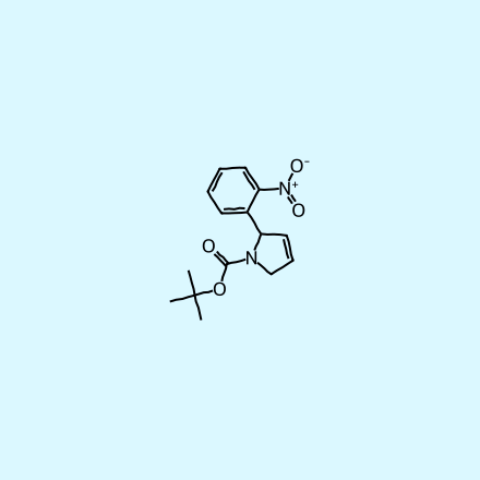 CC(C)(C)OC(=O)N1CC=CC1c1ccccc1[N+](=O)[O-]